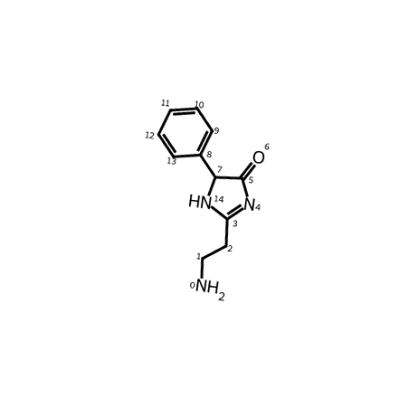 NCCC1=NC(=O)C(c2ccccc2)N1